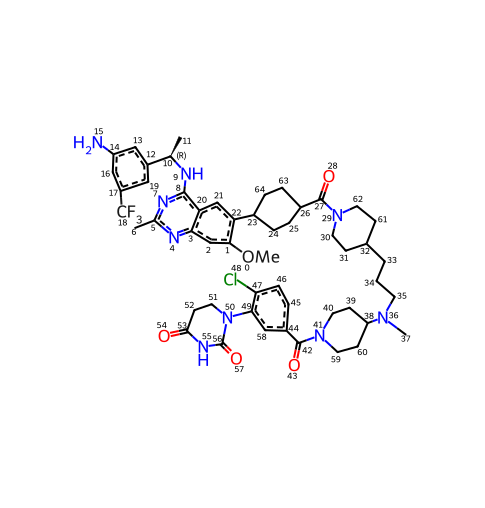 COc1cc2nc(C)nc(N[C@H](C)c3cc(N)cc(C(F)(F)F)c3)c2cc1C1CCC(C(=O)N2CCC(CCCN(C)C3CCN(C(=O)c4ccc(Cl)c(N5CCC(=O)NC5=O)c4)CC3)CC2)CC1